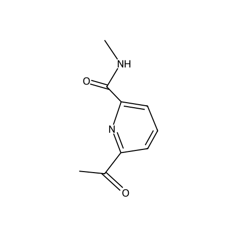 CNC(=O)c1cccc(C(C)=O)n1